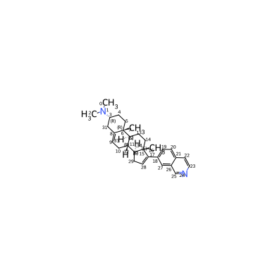 CN(C)[C@@H]1CC[C@@]2(C)C(=CC[C@@H]3[C@@H]2CC[C@]2(C)C(c4ccc5ccncc5c4)=CC[C@@H]32)C1